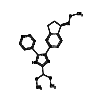 CON=C1CCc2cc(-c3nc(C(OC)OC)[nH]c3-c3ccncc3)ccc21